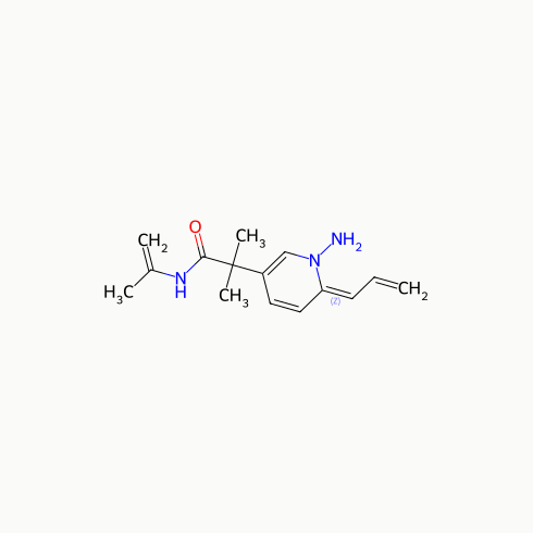 C=C/C=C1/C=CC(C(C)(C)C(=O)NC(=C)C)=CN1N